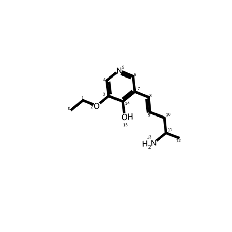 CCOc1cncc(C=CCC(C)N)c1O